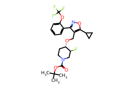 CC(C)(C)OC(=O)N1CC[C@H](OCc2c(-c3ccccc3OC(F)(F)F)noc2C2CC2)[C@@H](F)C1